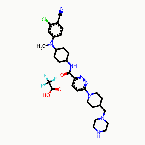 CN(c1ccc(C#N)c(Cl)c1)C1CCC(NC(=O)c2ccc(N3CCC(CN4CCNCC4)CC3)nn2)CC1.O=C(O)C(F)(F)F